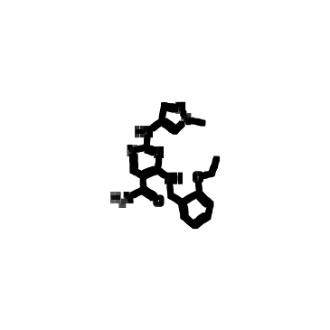 CCOc1ccccc1CNc1nc(Nc2cnn(C)c2)ncc1C(N)=O